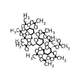 CC(=O)OC[C@H]1OC(O[C@H]2[C@@H](OC(C)=O)[C@@H](OC(C)=O)C(O[C@H]3[C@@H](OC(C)=O)[C@@H](OC(C)=O)C(OC(C)=O)O[C@@H]3COC(C)=O)O[C@@H]2COC(C)=O)[C@H](OC(C)=O)[C@H](OC(C)=O)[C@@H]1OC(C)=O